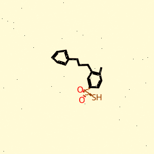 Cc1ccc(S(=O)(=O)S)cc1CCCc1ccccc1